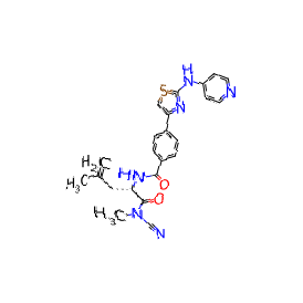 C=C(C)C[C@H](NC(=O)c1ccc(-c2csc(Nc3ccncc3)n2)cc1)C(=O)N(C)C#N